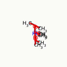 CCCCCCCCC(CCCCCCCC)OC(=O)CCCCCCCN(CCCCCCOC(=O)OCCC(CCCCCC)CCCCCC)CCCNC(=O)OC(C)(C)C